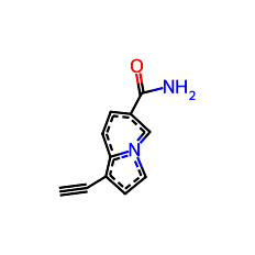 C#Cc1ccn2cc(C(N)=O)ccc12